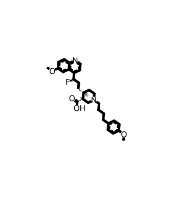 COc1ccc(CCCCN2CC[C@@H](CC[C@@H](F)c3ccnc4ccc(OC)cc34)[C@@H](C(=O)O)C2)cc1